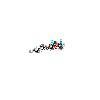 CC[C@H]1CC[C@H]([C@H]2CC[C@H](COc3ccc(C(=O)Oc4cc(F)c(F)c(F)c4)c(F)c3)CC2)CC1